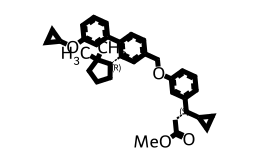 COC(=O)C[C@H](c1cccc(OCc2ccc(-c3cccc(OC4CC4)c3)c([C@@H]3CCCC3(C)C)c2)c1)C1CC1